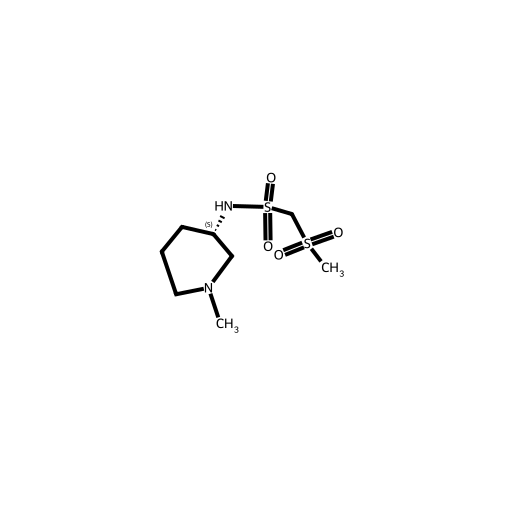 CN1CCC[C@H](NS(=O)(=O)CS(C)(=O)=O)C1